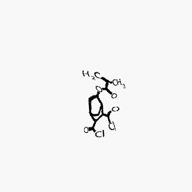 C=C(C)C(=O)OC1CC2CC1C(C(=O)Cl)C2C(=O)Cl